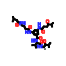 CC(C)CC(=O)NCCCC(=O)Nc1cc(NC(=O)CCC(=O)C(C)C)cc(C(=O)N[C@H](C(=O)N[C@@H](C)C(=O)C(C)C)C(C)C)c1